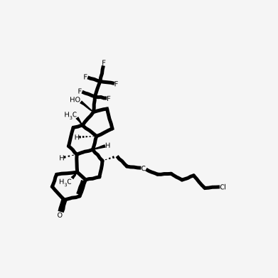 C[C@]12CCC(=O)C=C1C[C@@H](CCCCCCCCCl)[C@@H]1[C@@H]2CC[C@@]2(C)[C@H]1CC[C@@]2(O)C(F)(F)C(F)(F)F